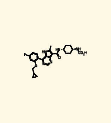 Cc1[nH]c2c(-c3ccc(F)cc3OCC3CC3)ncnc2c1C(=O)N[C@H]1CC[C@H](NC(=O)O)CC1